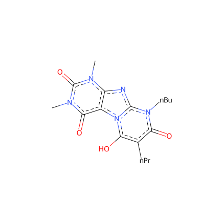 CCCCn1c(=O)c(CCC)c(O)n2c3c(=O)n(C)c(=O)n(C)c3nc12